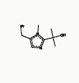 CC(C)Cc1cnc(C(C)(C)O)n1C